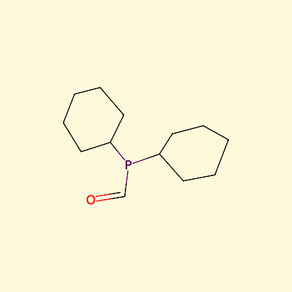 O=CP(C1CCCCC1)C1CCCCC1